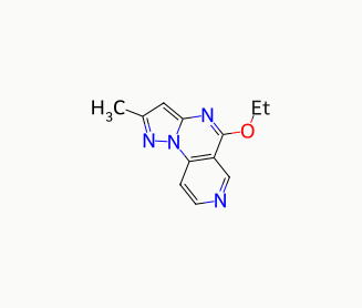 CCOc1nc2cc(C)nn2c2ccncc12